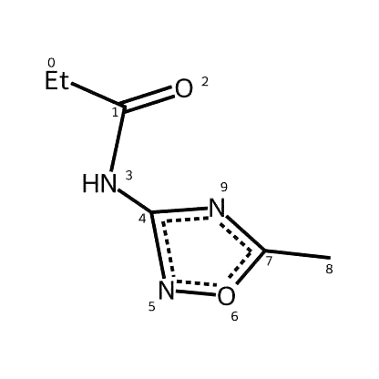 CCC(=O)Nc1noc(C)n1